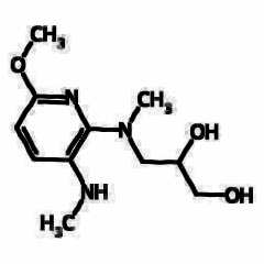 CNc1ccc(OC)nc1N(C)CC(O)CO